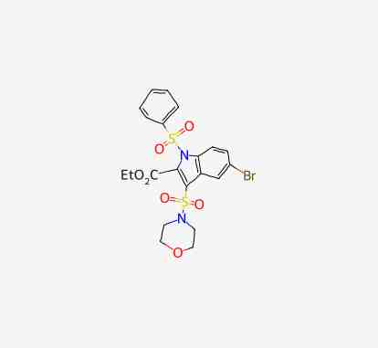 CCOC(=O)c1c(S(=O)(=O)N2CCOCC2)c2cc(Br)ccc2n1S(=O)(=O)c1ccccc1